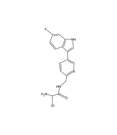 CCC(N)C(=O)NCc1ccc(-c2c[nH]c3cc(F)ccc23)cn1